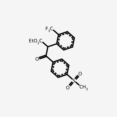 CCOC(=O)C(C(=O)c1ccc(S(C)(=O)=O)cc1)c1ccccc1C(F)(F)F